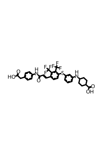 O=C(O)Cc1ccc(NC(=O)C=Cc2ccc(Sc3cccc(NC4CCC(C(=O)O)CC4)c3)c(C(F)(F)F)c2C(F)(F)F)cc1